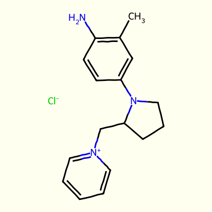 Cc1cc(N2CCCC2C[n+]2ccccc2)ccc1N.[Cl-]